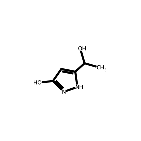 CC(O)c1cc(O)n[nH]1